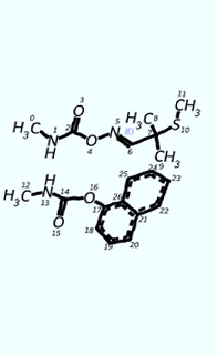 CNC(=O)O/N=C/C(C)(C)SC.CNC(=O)Oc1cccc2ccccc12